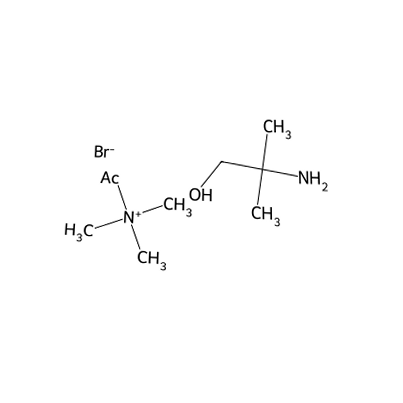 CC(=O)[N+](C)(C)C.CC(C)(N)CO.[Br-]